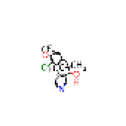 CC(C)(Cc1ccc(OC(F)(F)F)c(Cl)c1)C(O)c1cccnc1